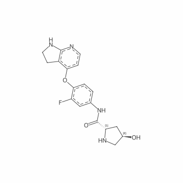 O=C(Nc1ccc(Oc2ccnc3c2CCN3)c(F)c1)[C@@H]1C[C@@H](O)CN1